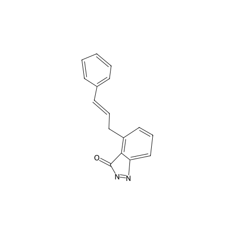 O=C1N=Nc2cccc(CC=Cc3ccccc3)c21